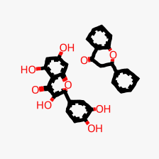 O=C1CC(c2ccccc2)Oc2ccccc21.O=c1c(O)c(-c2ccc(O)c(O)c2)oc2cc(O)cc(O)c12